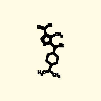 CCC(=O)c1csc(N(CC)C2CCC(N(C)C)CC2)c1C